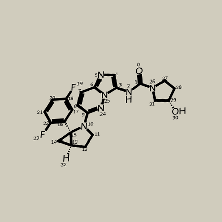 O=C(Nc1cnc2ccc(N3CC[C@H]4C[C@]43c3cc(F)ccc3F)nn12)N1CC[C@H](O)C1